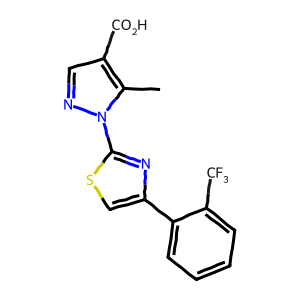 Cc1c(C(=O)O)cnn1-c1nc(-c2ccccc2C(F)(F)F)cs1